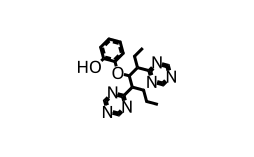 CCCC(c1ncncn1)C(Oc1ccccc1O)C(CC)c1ncncn1